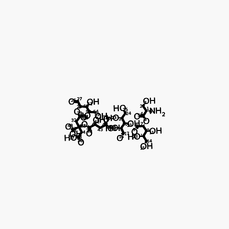 N[C@@H](CO)C(=O)O[C@@H](C=O)[C@@H](O)[C@H](O)CO.O=C[C@@H](O)[C@H](O)[C@H](O)CO.O=C[C@H](OC(=O)CC(CC(=O)O)(OC(=O)C(O)CC(=O)O)C(=O)O)[C@@H](O)[C@@H](O)CO